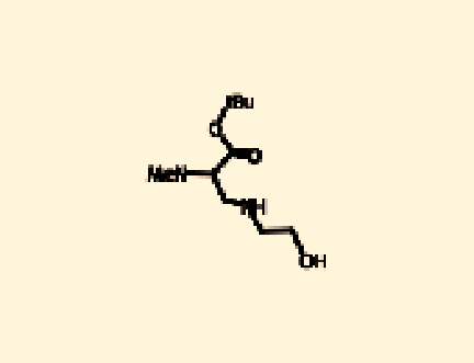 CNC(CNCCO)C(=O)OC(C)(C)C